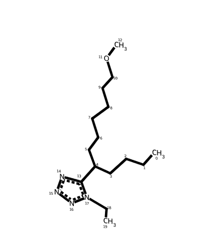 CCCCC(CCCCCCOC)c1nnnn1CC